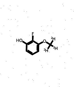 [2H]C([2H])([2H])Oc1cccc(O)c1F